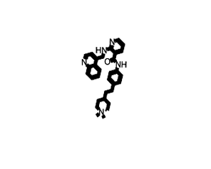 C[N+]1(C)CCC(CCc2ccc(NC(=O)c3cccnc3NCc3ccnc4ccccc34)cc2)CC1